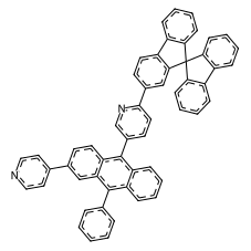 c1ccc(-c2c3ccccc3c(-c3ccc(-c4ccc5c(c4)C4(c6ccccc6-c6ccccc64)c4ccccc4-5)nc3)c3ccc(-c4ccncc4)cc23)cc1